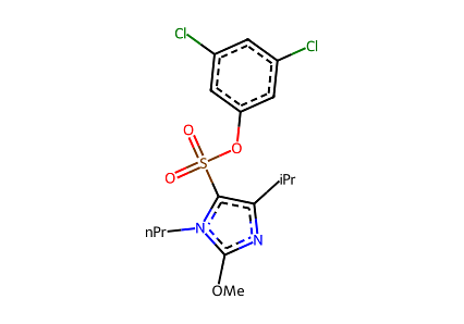 CCCn1c(OC)nc(C(C)C)c1S(=O)(=O)Oc1cc(Cl)cc(Cl)c1